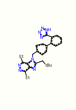 CCc1nnc(CC)c2c1nc(CC(C)(C)C)n2Cc1ccc(-c2ccccc2-c2nnn[nH]2)cc1